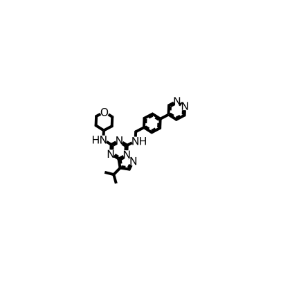 CC(C)c1cnn2c(NCc3ccc(-c4ccnnc4)cc3)nc(NC3CCOCC3)nc12